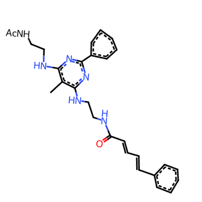 CC(=O)NCCNc1nc(-c2ccccc2)nc(NCCNC(=O)/C=C/C=C/c2ccccc2)c1C